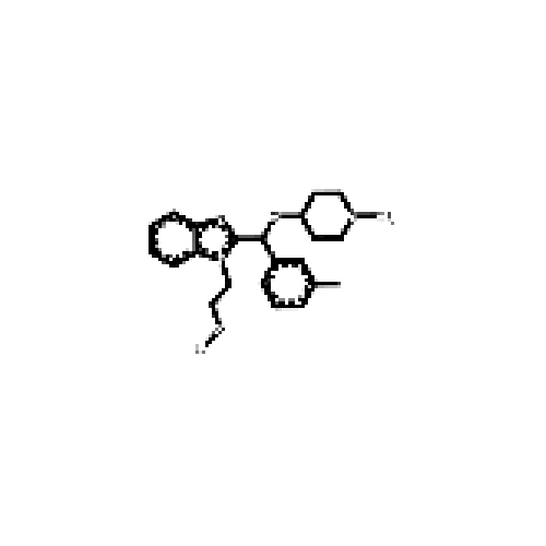 CCOCCn1c(C(OC2CCN(C)CC2)c2cccc(I)c2)nc2ccccc21